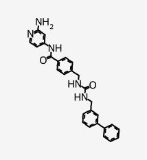 Nc1cc(NC(=O)c2ccc(CNC(=O)NCc3cccc(-c4ccccc4)c3)cc2)ccn1